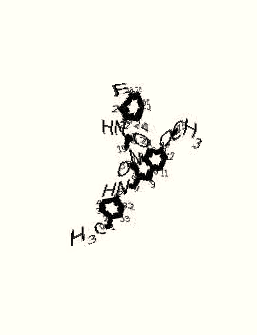 CCc1ccc(NCc2cc3ccc(OC)cc3n(CC(=O)Nc3cccc(F)c3)c2=O)cc1